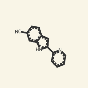 N#Cc1ccc2cc(-c3ccccn3)[nH]c2c1